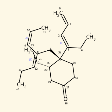 C=C/C=C(\CC)[C@]1(CC(/C=C\C)=C/CC)CCC(=O)C[C@@H]1CC